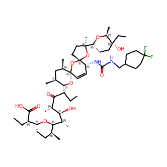 CCC(C(=O)[C@@H](C)[C@@H](O)[C@H](C)[C@@H]1O[C@@H]([C@@H](CC)C(=O)O)CC[C@@H]1C)[C@H]1O[C@]2(C=C[C@@H](NC(=O)NCC3CCC(F)(F)CC3)[C@]3(CC[C@@](C)([C@H]4CC[C@](O)(CC)[C@H](C)O4)O3)O2)[C@H](C)C[C@@H]1C